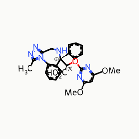 COc1cc(OC)nc(O[C@H](C(=O)O)[C@@]2(c3ccccc3)NCc3nnc(C)n3-c3ccccc32)n1